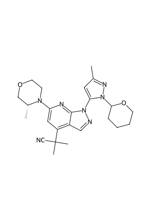 Cc1cc(-n2ncc3c(C(C)(C)C#N)cc(N4CCOC[C@H]4C)nc32)n(C2CCCCO2)n1